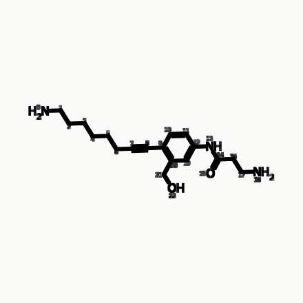 NCCCCCCC#Cc1ccc(NC(=O)CCN)cc1CO